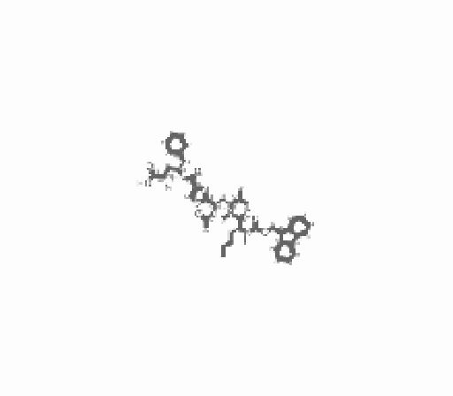 CCCC[C@H](NC(=O)OCC1c2ccccc2-c2ccccc21)C(=O)N(C)[C@@H](C[C@@H](OC(C)=O)c1nc(C(=O)N[C@H](Cc2ccccc2)C[C@H](C)C(=O)O)cs1)C(C)C